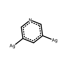 [Ag][c]1cnc[c]([Ag])c1